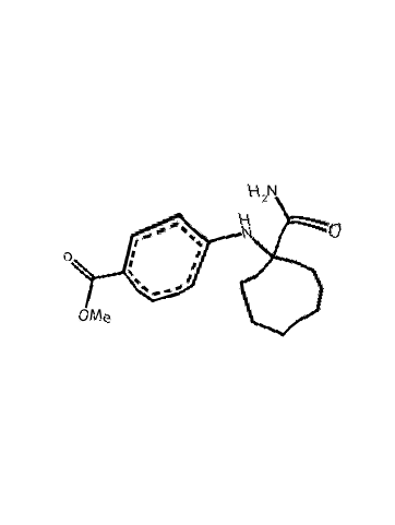 COC(=O)c1ccc(NC2(C(N)=O)CCCCC2)cc1